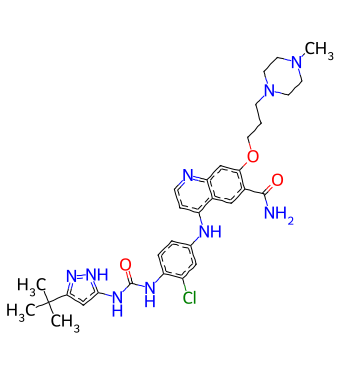 CN1CCN(CCCOc2cc3nccc(Nc4ccc(NC(=O)Nc5cc(C(C)(C)C)n[nH]5)c(Cl)c4)c3cc2C(N)=O)CC1